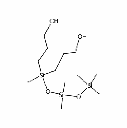 C[Si](C)(C)O[Si](C)(C)O[Si](C)(CCCO)CCCO